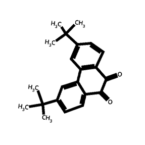 CC(C)(C)c1ccc2c(c1)-c1cc(C(C)(C)C)ccc1C(=O)C2=O